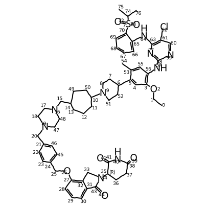 CCOc1cc(C2CCN(C3CCCC(CN4CCN(Cc5ccc(COc6cccc7c6CN([C@@H]6CCC(=O)NC6=O)C7=O)cc5)CC4)CC3)CC2)c(C)cc1Nc1ncc(Cl)c(Nc2ccccc2S(=O)(=O)C(C)C)n1